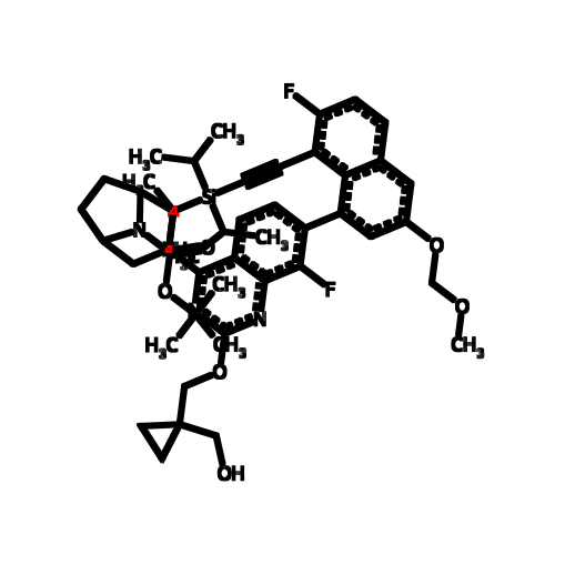 COCOc1cc(-c2ccc3c(N4CC5CCC(C4)N5C(=O)OC(C)(C)C)nc(OCC4(CO)CC4)nc3c2F)c2c(C#C[Si](C(C)C)(C(C)C)C(C)C)c(F)ccc2c1